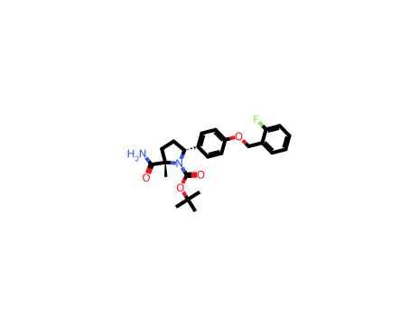 CC(C)(C)OC(=O)N1[C@@H](c2ccc(OCc3ccccc3F)cc2)CC[C@@]1(C)C(N)=O